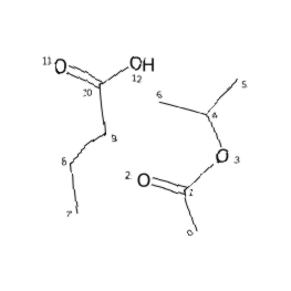 CC(=O)OC(C)C.CCCC(=O)O